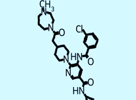 CN1CCCN(C(=O)CC2CCN(c3ncc(C(=O)NC4CC4)cc3NC(=O)c3cccc(Cl)c3)CC2)CC1